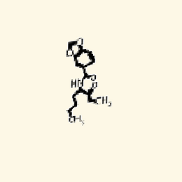 CCCCC(NC(=O)c1ccc2c(c1)OCO2)C(=O)CC